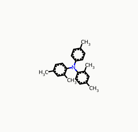 Cc1ccc(N(c2ccc(C)cc2C)c2ccc(C)cc2C)cc1